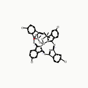 C[Si](C)(C)O[Si]1(O[Si](C)(C)C)n2c3c4cc(Cl)ccc4c2/N=C2N=C(/N=c4/c5cc(Cl)ccc5/c(n41)=N/C1=NC(=N\3)/c3ccc(Cl)cc31)c1ccc(Cl)cc1\2